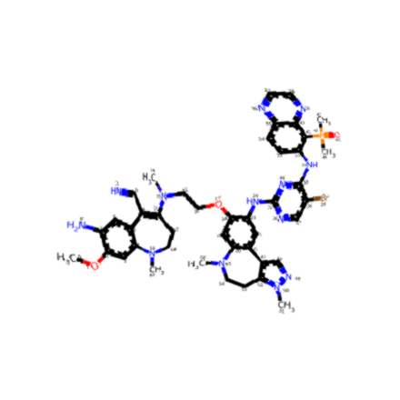 COc1cc2c(cc1N)C(C=N)=C(N(C)CCOc1cc3c(cc1Nc1ncc(Br)c(Nc4ccc5nccnc5c4P(C)(C)=O)n1)-c1cnn(C)c1CCN3C)CCN2C